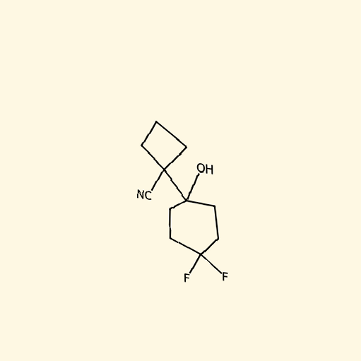 N#CC1(C2(O)CCC(F)(F)CC2)CCC1